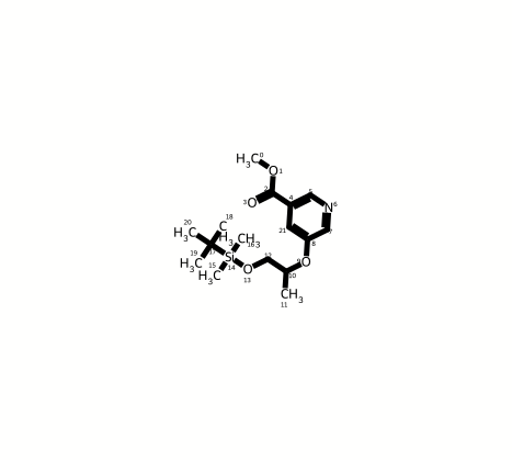 COC(=O)c1cncc(OC(C)CO[Si](C)(C)C(C)(C)C)c1